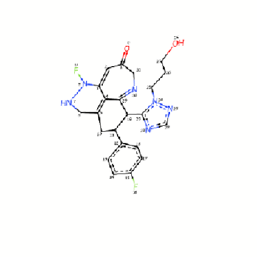 O=C1C=C2C3=C(CNN2F)CC(c2ccc(F)cc2)C(c2ncnn2CCCO)C3=NC1